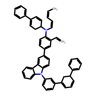 C=Cc1cc(-c2ccc3c(c2)c2ccccc2n3-c2cccc(C3=CC=CC(c4ccccc4)C3)c2)ccc1N(/C=C\C=C/C)C1C=CC(c2ccccc2)=CC1